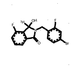 [2H]C1(O)c2c(F)cccc2C(=O)N1Cc1ccc(Br)cc1F